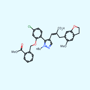 CCCCn1ncc(/C=C(\Cc2cc3c(cc2OC)CCO3)C(=O)O)c1-c1ccc(Cl)cc1OCc1ccccc1C(=O)OC